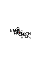 CCOC(O)c1cn(C[C@](C)(O)C(=O)Nc2ccc(C#N)c(C(F)(F)F)c2)c2ccccc12